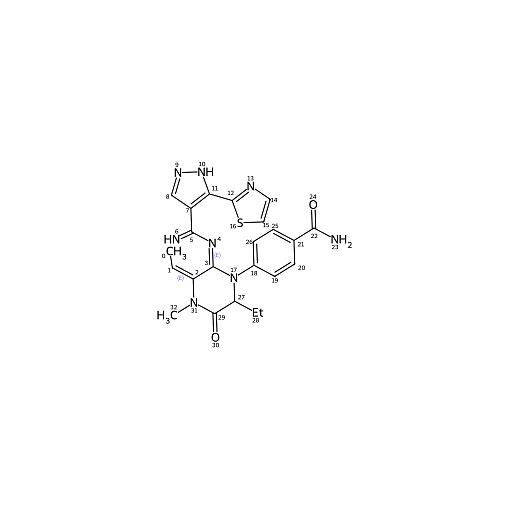 C/C=C1\C(=N/C(=N)c2cn[nH]c2-c2nccs2)N(c2ccc(C(N)=O)cc2)C(CC)C(=O)N1C